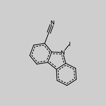 N#Cc1cccc2c3ccccc3n(I)c12